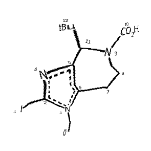 Cn1c(I)nc2c1CCN(C(=O)O)C2C(C)(C)C